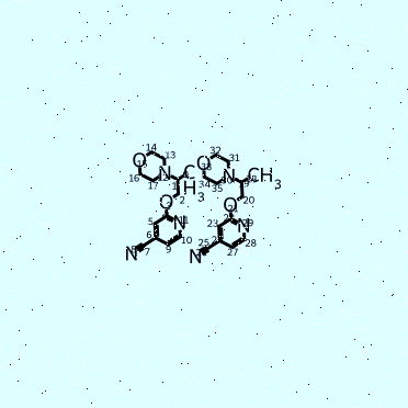 CC(COc1cc(C#N)ccn1)N1CCOCC1.CC(COc1cc(C#N)ccn1)N1CCOCC1